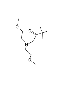 COCCN(CCOC)CC(=O)C(C)(C)C